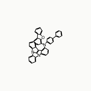 c1ccc(-c2ccc(N(c3cccc4c3oc3ccccc34)c3cccc4c3c3c5ccccc5n5c6ccccc6n4c35)cc2)cc1